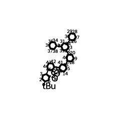 CC(C)(C)c1ccc2c(c1)S(=O)(=O)c1c(-c3cccc(-c4cccc(-c5cc(-c6ccccc6)cc(-c6ccccc6)c5)c4)c3)cccc1-2